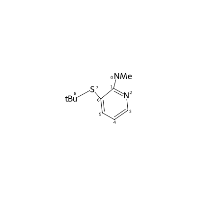 CNc1ncccc1SC(C)(C)C